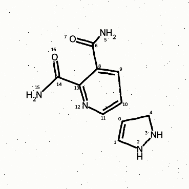 C1=CNNC1.NC(=O)c1cccnc1C(N)=O